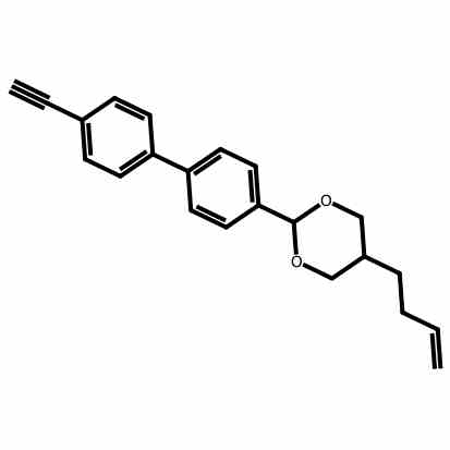 C#Cc1ccc(-c2ccc(C3OCC(CCC=C)CO3)cc2)cc1